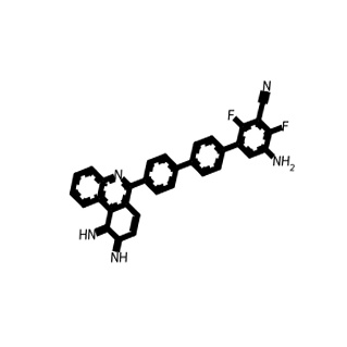 N#Cc1c(F)c(N)cc(-c2ccc(-c3ccc(-c4nc5ccccc5c5c4C=CC(=N)C5=N)cc3)cc2)c1F